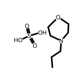 CCCN1CCOCC1.O=S(=O)(O)O